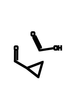 O=CC1CC1.O=CO